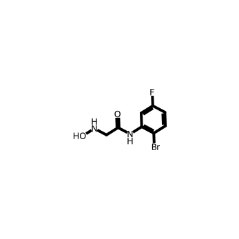 O=C(CNO)Nc1cc(F)ccc1Br